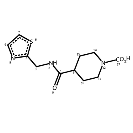 O=C(NCc1nccs1)C1CCN(C(=O)O)CC1